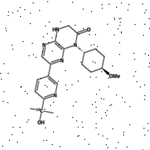 CO[C@H]1CC[C@H](N2C(=O)CNc3ncc(-c4ccc([14C](C)(C)O)nc4)nc32)CC1